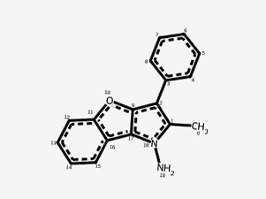 Cc1c(-c2ccccc2)c2oc3ccccc3c2n1N